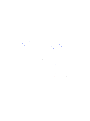 Nc1nc2cc(-c3ccn[nH]3)ccc2c2nn(CC3(C=O)CC3)cc12